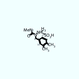 CNC(=O)N(N)Cc1ccc(C)c(C)c1.CS(=O)(=O)O